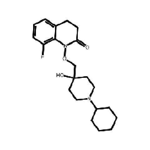 O=C1CCc2cccc(F)c2N1OCC1(O)CCN(C2CCCCC2)CC1